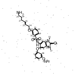 CCCOc1cccc(Oc2cc3c(cc2NS(=O)(=O)c2cccc(OC/C=C/CCCN)c2)n(C)c(=O)n3C)c1